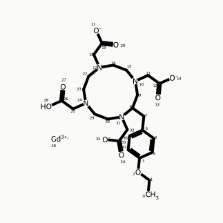 CCOc1ccc(CC2CN(CC(=O)[O-])CCN(CC(=O)[O-])CCN(CC(=O)O)CCN2CC(=O)[O-])cc1.[Gd+3]